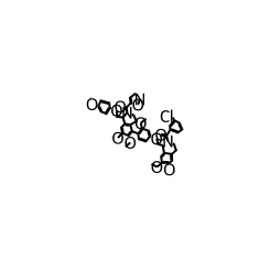 COc1ccc(OCC2c3cc(OC)c(OC)c(-c4ccc(OCC5c6cc(OC)c(OC)cc6CCN5C(=O)c5cccc(Cl)c5)cc4OC)c3CCN2C(=O)c2ccno2)cc1